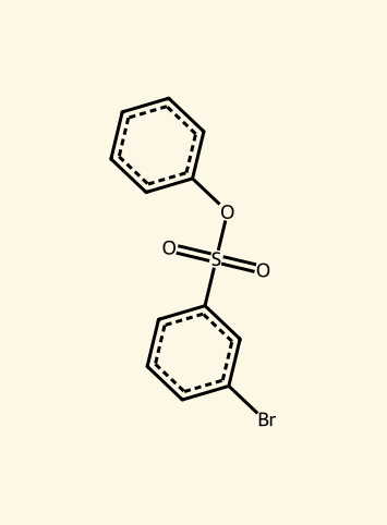 O=S(=O)(Oc1ccccc1)c1cccc(Br)c1